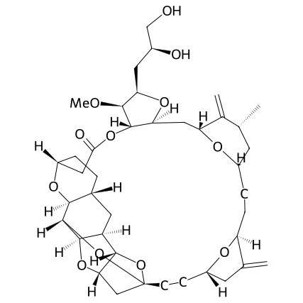 C=C1C[C@@H]2CC[C@@]34C[C@@H]5O[C@@H]6[C@@H](C[C@H]7CC[C@H](CC(=O)O[C@@H]8[C@@H](OC)[C@@H](C[C@H](O)CO)O[C@H]8C[C@H]8O[C@@H](CC[C@@H]1O2)C[C@@H](C)C8=C)O[C@@H]7[C@@H]6O3)[C@@H]5O4